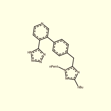 CCCCCn1nc(CCCC)nc1Cc1ccc(-c2cnccc2-c2nnn[nH]2)cc1